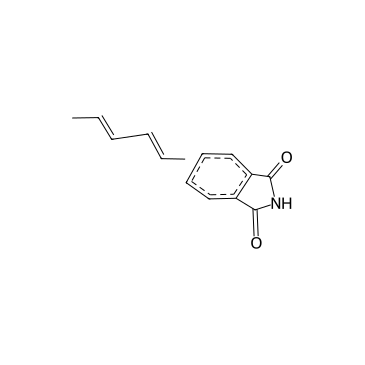 CC=CC=CC.O=C1NC(=O)c2ccccc21